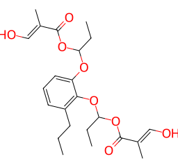 CCCc1cccc(OC(CC)OC(=O)C(C)=CO)c1OC(CC)OC(=O)C(C)=CO